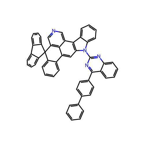 c1ccc(-c2ccc(-c3nc(-n4c5ccccc5c5c6cncc7c6c(cc54)-c4ccccc4C74c5ccccc5-c5ccccc54)nc4ccccc34)cc2)cc1